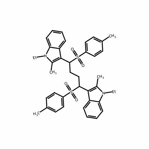 CCn1c(C)c(C(CCC(c2c(C)n(CC)c3ccccc23)S(=O)(=O)c2ccc(C)cc2)S(=O)(=O)c2ccc(C)cc2)c2ccccc21